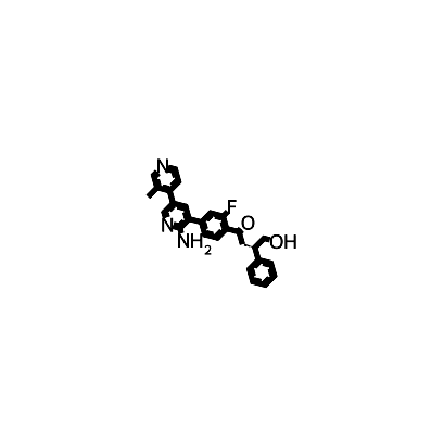 Cc1cnccc1-c1cnc(N)c(-c2ccc(C(=O)C[C@H](CO)c3ccccc3)c(F)c2)c1